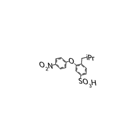 CC(C)Cc1ccc(S(=O)(=O)O)cc1Oc1ccc([N+](=O)[O-])cc1